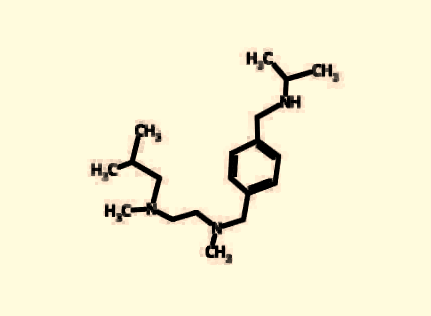 CC(C)CN(C)CCN(C)Cc1ccc(CNC(C)C)cc1